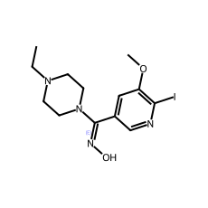 CCN1CCN(/C(=N/O)c2cnc(I)c(OC)c2)CC1